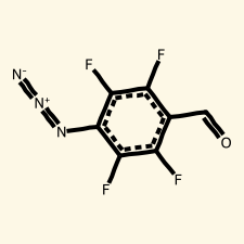 [N-]=[N+]=Nc1c(F)c(F)c(C=O)c(F)c1F